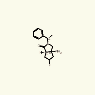 C[C@H](c1ccccc1)N1C[C@]2(N)CC(F)C[C@@H]2C1=O